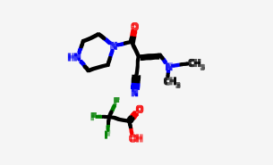 CN(C)/C=C(\C#N)C(=O)N1CCNCC1.O=C(O)C(F)(F)F